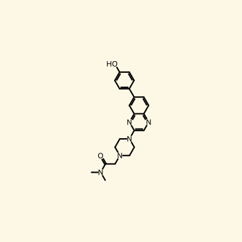 CN(C)C(=O)CN1CCN(c2cnc3ccc(-c4ccc(O)cc4)cc3n2)CC1